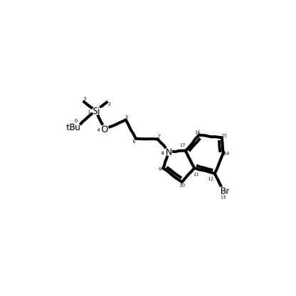 CC(C)(C)[Si](C)(C)OCCCn1ccc2c(Br)cccc21